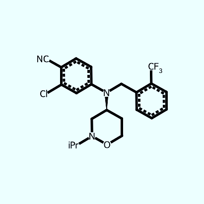 CC(C)N1C[C@@H](N(Cc2ccccc2C(F)(F)F)c2ccc(C#N)c(Cl)c2)CCO1